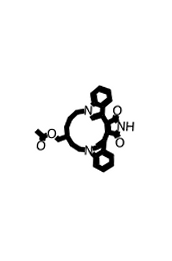 CC(=O)OCC1CCCn2cc(c3ccccc32)C2=C(C(=O)NC2=O)c2cn(c3ccccc23)CC1